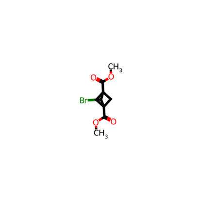 COC(=O)C12CC(C(=O)OC)(C1)C2Br